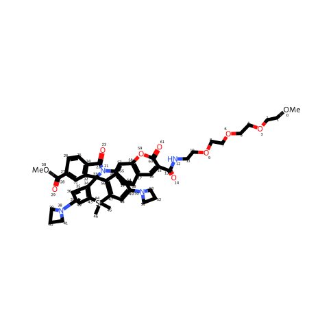 COCCOCCOCCOCCNC(=O)c1cc2ccc(N3C(=O)c4ccc(C(=O)OC)cc4C34c3ccc(N5CCC5)cc3[Si](C)(C)c3cc(N5CCC5)ccc34)cc2oc1=O